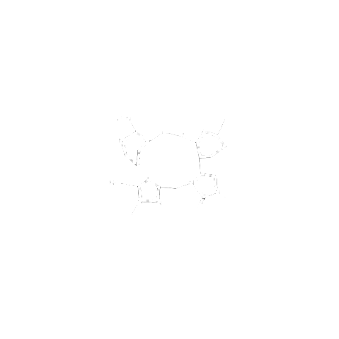 Cc1ccc2c(c1)[C@@H](C)Oc1cc(cnc1N)-c1c(nn(C)c1C#N)Cn1c-2cn(C)c1=O